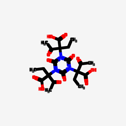 CCC(C(C)=O)(C(=O)O)n1c(=O)n(C(CC)(C(C)=O)C(=O)O)c(=O)n(C(CC)(C(C)=O)C(=O)O)c1=O